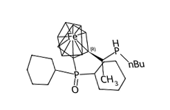 CCCCPC(C)[C@@]12[CH]3[CH]4[CH]5[C]1(P(=O)(C1CCCCC1)C1CCCCC1)[Fe]45321678[CH]2[CH]1[CH]6[CH]7[CH]28